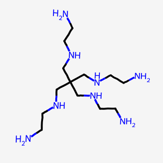 NCCNCC(CNCCN)(CNCCN)CNCCN